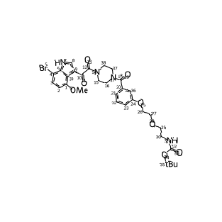 COc1ccc(Br)c2[nH]cc(C(=O)C(=O)N3CCN(C(=O)c4cccc(OCCOCCNC(=O)OC(C)(C)C)c4)CC3)c12